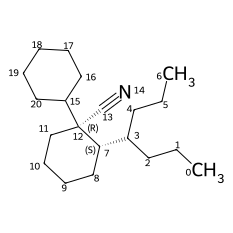 CCCC(CCC)[C@@H]1CCCC[C@@]1(C#N)C1CCCCC1